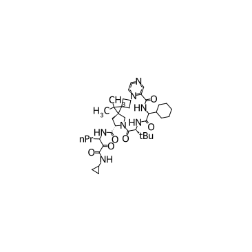 CCCC(NC(=O)[C@@H]1C[C@@]2(CN1C(=O)[C@@H](NC(=O)[C@@H](NC(=O)c1cnccn1)C1CCCCC1)C(C)(C)C)C(C)(C)C21CCC1)C(=O)C(=O)NC1CC1